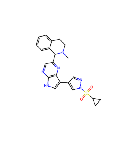 CN1CCc2ccccc2C1c1cnc2[nH]cc(-c3cnn(S(=O)(=O)C4CC4)c3)c2n1